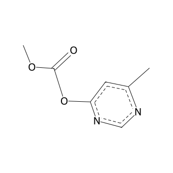 COC(=O)Oc1cc(C)ncn1